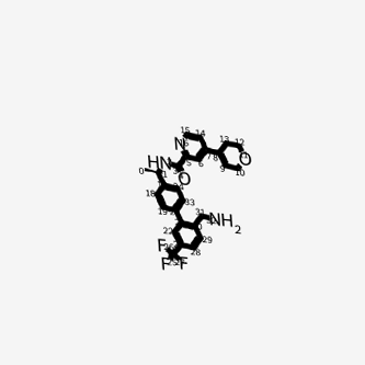 C[C@@H](NC(=O)c1cc(C2=CCOCC2)ccn1)c1ccc(-c2cc(C(F)(F)F)ccc2CN)cc1